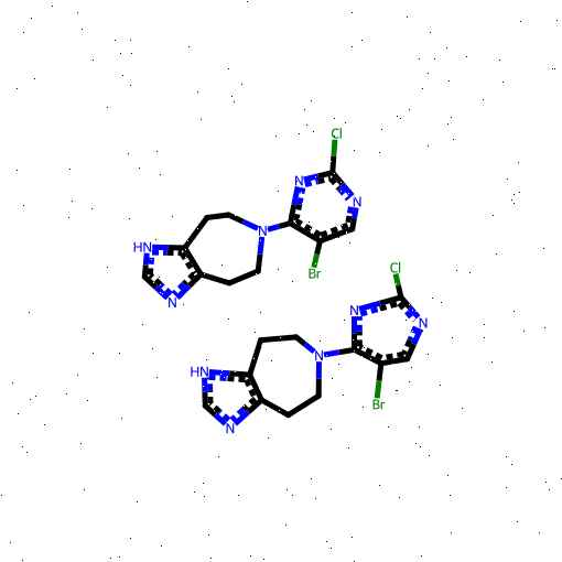 Clc1ncc(Br)c(N2CCc3nc[nH]c3CC2)n1.Clc1ncc(Br)c(N2CCc3nc[nH]c3CC2)n1